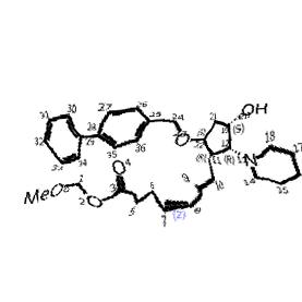 COCOC(=O)CC/C=C\CC[C@@H]1[C@@H](N2CCCCC2)[C@@H](O)C[C@@H]1OCc1ccc(-c2ccccc2)cc1